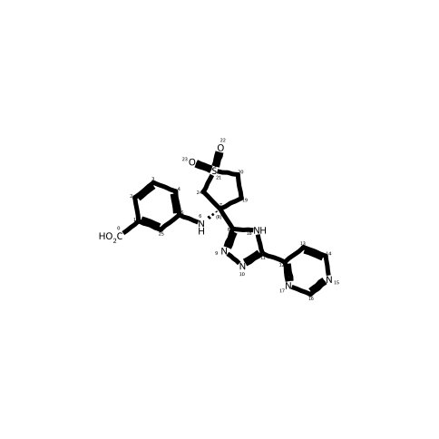 O=C(O)c1cccc(N[C@@]2(c3nnc(-c4ccncn4)[nH]3)CCS(=O)(=O)C2)c1